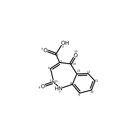 O=C(O)c1c[n+](=O)[nH]c2ccccc2c1=O